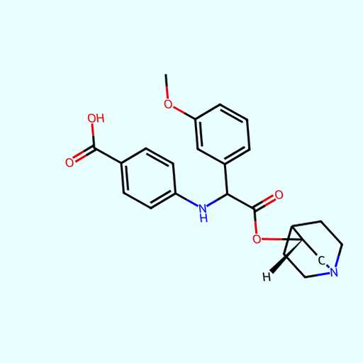 COc1cccc(C(Nc2ccc(C(=O)O)cc2)C(=O)O[C@H]2CN3CCC2CC3)c1